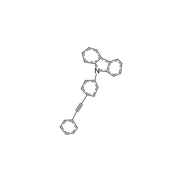 C(#Cc1ccc(-n2c3ccccc3c3ccccc32)cc1)c1ccccc1